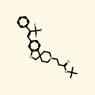 CC(C)(C)OC(=O)CCN1CCC2(CC1)COc1cc(/C=C(/c3ccccc3)C(F)(F)F)ccc12